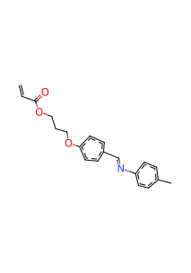 C=CC(=O)OCCCOc1ccc(C=Nc2ccc(C)cc2)cc1